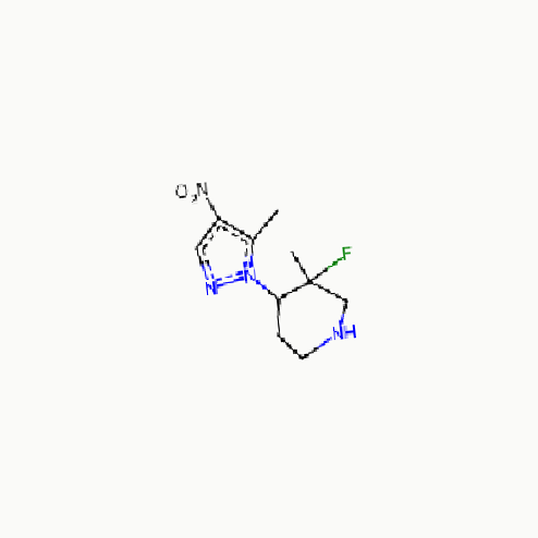 Cc1c([N+](=O)[O-])cnn1C1CCNCC1(C)F